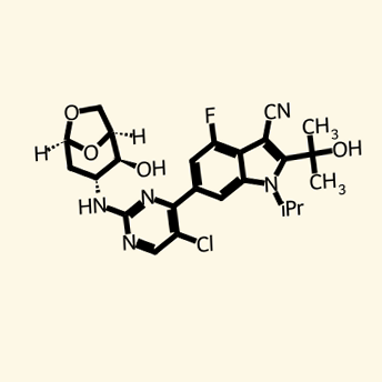 CC(C)n1c(C(C)(C)O)c(C#N)c2c(F)cc(-c3nc(N[C@@H]4C[C@H]5OC[C@H](O5)[C@H]4O)ncc3Cl)cc21